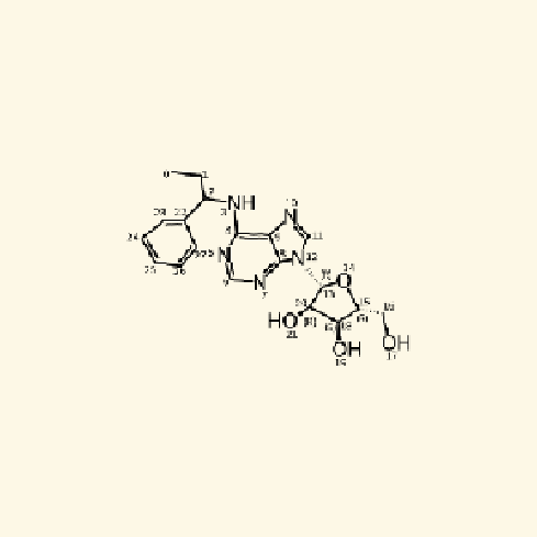 CCC(Nc1ncnc2c1ncn2[C@@H]1O[C@H](CO)[C@@H](O)[C@H]1O)c1ccccc1